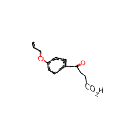 C=CCOc1ccc(C(=O)CCC(=O)O)cc1